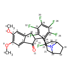 COc1cc2c(cc1OC)C(=O)C(CC1(F)CC3CCC(C1)N3Cc1c(F)c(F)c(F)c(F)c1F)C2